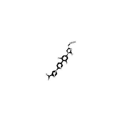 CC(=O)NC[C@H]1CN(c2cc(F)c(-c3ccc(-n4cnc(C(F)F)c4)nc3)c(F)c2)C(=O)O1